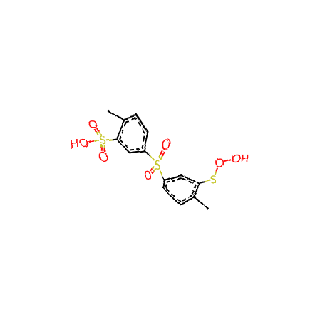 Cc1ccc(S(=O)(=O)c2ccc(C)c(S(=O)(=O)O)c2)cc1SOO